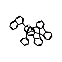 c1ccc(-c2cc(-c3cccc4ccccc34)nc(-c3cccc4c3C3(c5ccccc5-c5ccccc53)c3ccccc3-4)n2)cc1